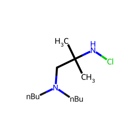 CCCCN(CCCC)CC(C)(C)NCl